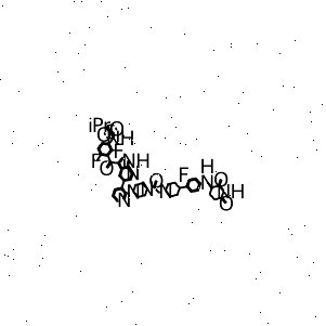 CC(C)S(=O)(=O)Nc1ccc(F)c(C(=O)c2c[nH]c3ncc(-c4cccnc4N4CCN(C(=O)CN5CCC(c6ccc(NC7CCC(=O)NC7=O)cc6F)CC5)CC4)cc23)c1F